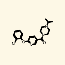 CC(C)N1CCN(C(=O)c2ccc(Oc3ccccc3Cl)nc2)CC1